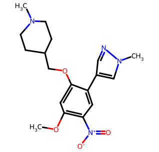 COc1cc(OCC2CCN(C)CC2)c(-c2cnn(C)c2)cc1[N+](=O)[O-]